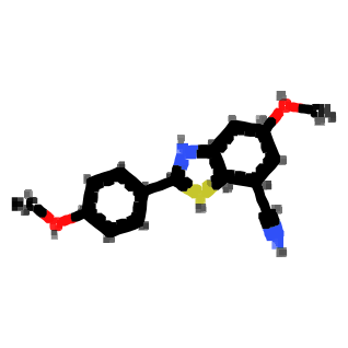 COc1ccc(-c2nc3cc(OC)cc(C#N)c3s2)cc1